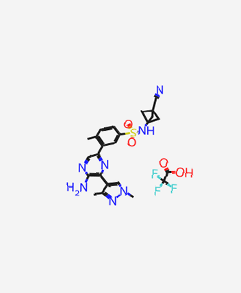 Cc1ccc(S(=O)(=O)NC23CC(C#N)(C2)C3)cc1-c1cnc(N)c(-c2cn(C)nc2C)n1.O=C(O)C(F)(F)F